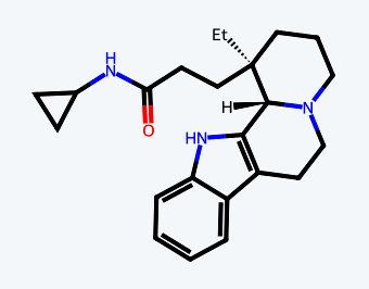 CC[C@]1(CCC(=O)NC2CC2)CCCN2CCc3c([nH]c4ccccc34)[C@@H]21